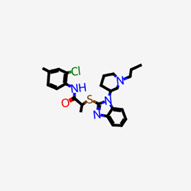 CCCN1CCCC(n2c(SC(C)C(=O)Nc3ccc(C)cc3Cl)nc3ccccc32)C1